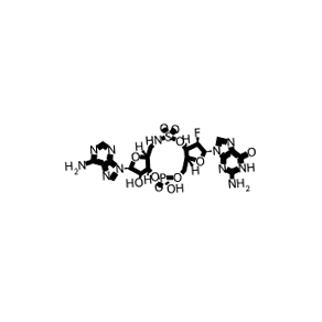 Nc1nc2c(ncn2[C@@H]2O[C@@H]3COP(=O)(O)O[C@H]4[C@@H](O)[C@H](n5cnc6c(N)ncnc65)O[C@@H]4CNS(=O)(=O)O[C@H]3[C@H]2F)c(=O)[nH]1